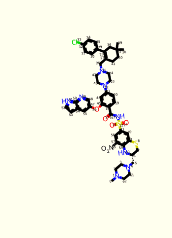 CN1CCN(C[C@H]2CSc3cc(S(=O)(=O)NC(=O)c4ccc(N5CCN(CC6=C(c7ccc(Cl)cc7)CC(C)(C)CC6)CC5)cc4Oc4cnc5[nH]ccc5c4)cc([N+](=O)[O-])c3N2)CC1